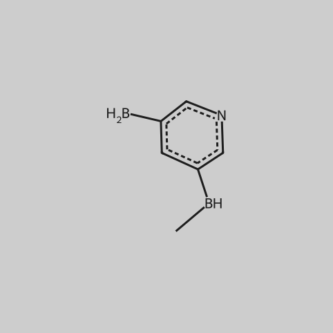 Bc1cncc(BC)c1